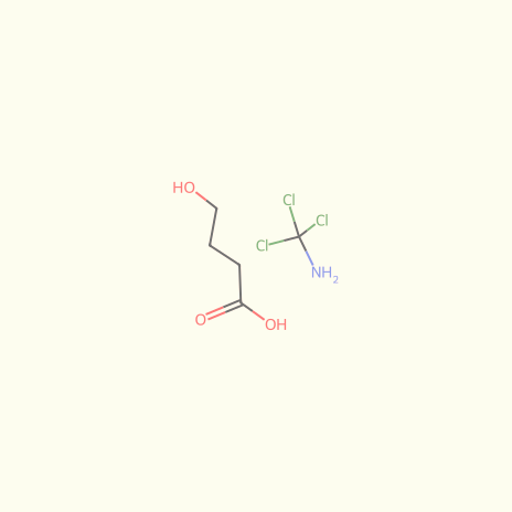 NC(Cl)(Cl)Cl.O=C(O)CCCO